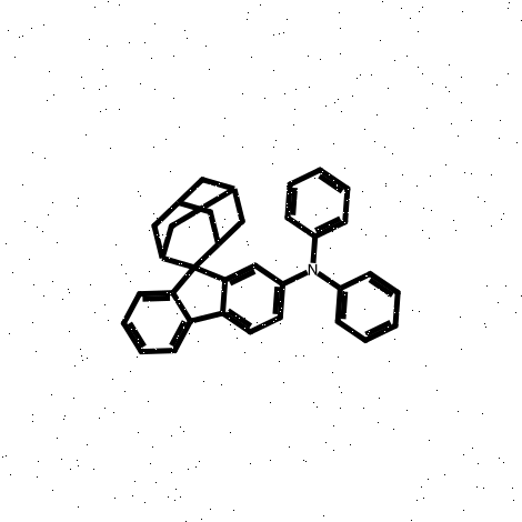 c1ccc(N(c2ccccc2)c2ccc3c(c2)C2(c4ccccc4-3)C3CC4CC(C3)CC2C4)cc1